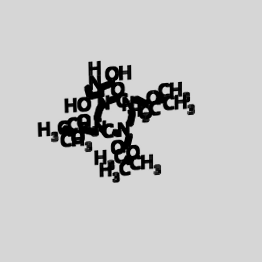 CC(C)(C)OC(=O)CN1CCN(CC(=O)OC(C)(C)C)CCN(C2C(O)CNC2C(=O)O)CCN(CC(=O)OC(C)(C)C)CC1